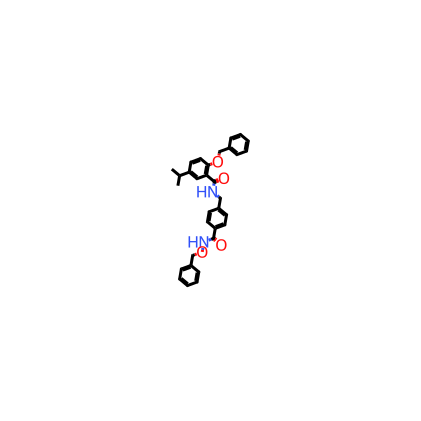 CC(C)c1ccc(OCc2ccccc2)c(C(=O)NCc2ccc(C(=O)NOCc3ccccc3)cc2)c1